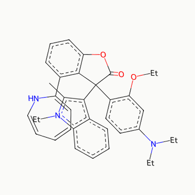 CCOc1cc(N(CC)CC)ccc1C1(c2c(C)n(CC)c3ccccc23)C(=O)Oc2cccc(C3=CC=CC=CN3)c21